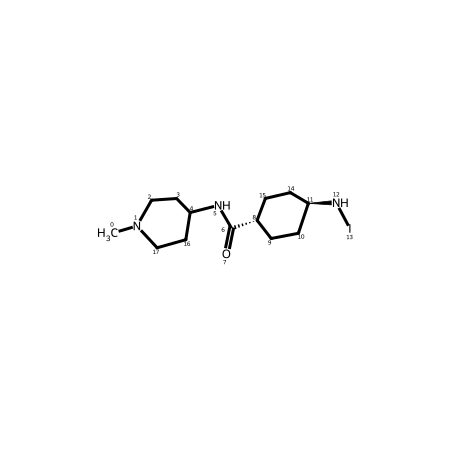 CN1CCC(NC(=O)[C@H]2CC[C@H](NI)CC2)CC1